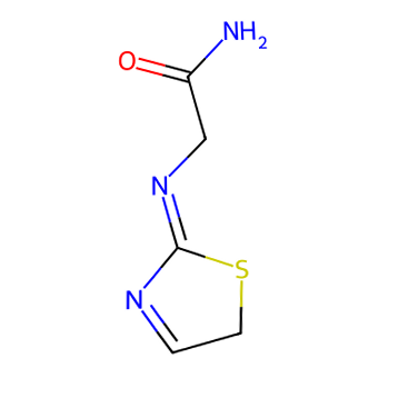 NC(=O)CN=C1N=CCS1